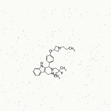 CCCN1CC(Oc2ccc(C3c4[nH]c5ccccc5c4CC(C)N3CC(C)(C)F)cc2)C1